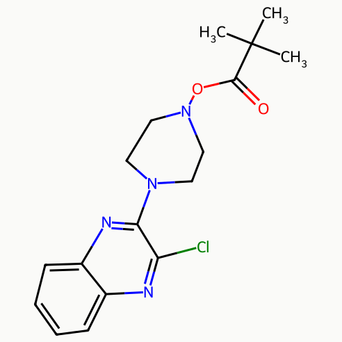 CC(C)(C)C(=O)ON1CCN(c2nc3ccccc3nc2Cl)CC1